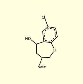 CNC1COc2ccc(Cl)cc2C(O)C1